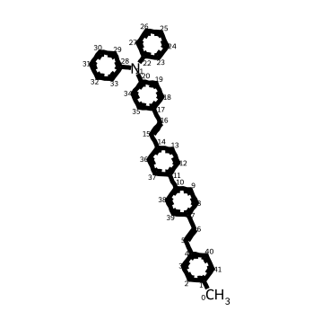 Cc1ccc(/C=C/c2ccc(-c3ccc(/C=C/c4ccc(N(c5ccccc5)c5ccccc5)cc4)cc3)cc2)cc1